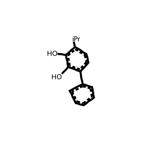 CC(C)c1ccc(-c2ccccc2)c(O)c1O